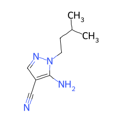 CC(C)CCn1ncc(C#N)c1N